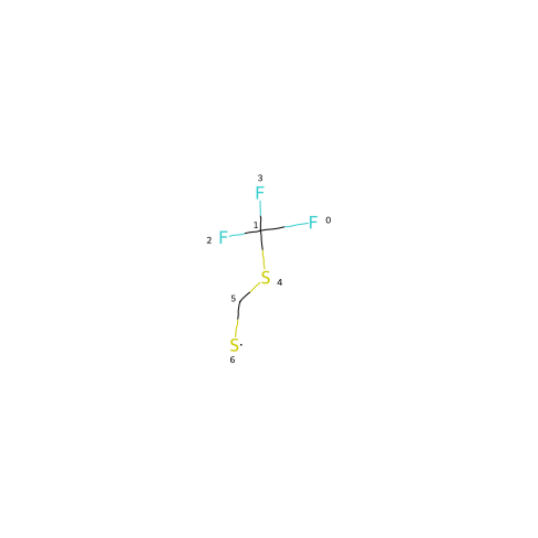 FC(F)(F)SC[S]